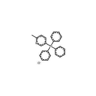 Cc1ccc([P+](c2ccccc2)(c2ccccc2)c2ccccc2)cn1.[Cl-]